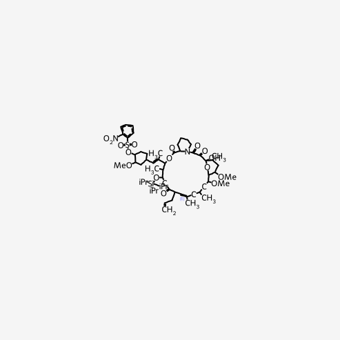 C=CCC1/C=C(\C)CC(C)CC(OC)C2OC(O)(C(=O)C(=O)N3CCCCC3C(=O)OC(C(C)=CC3CCC(OS(=O)(=O)c4ccccc4[N+](=O)[O-])C(OC)C3)C(C)C(O[Si](C(C)C)(C(C)C)C(C)C)CC1=O)C(C)CC2OC